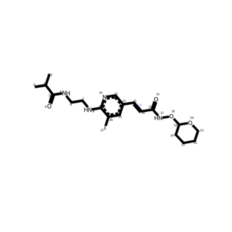 CC(C)C(=O)NCCNc1ncc(/C=C/C(=O)NOC2CCCCO2)cc1I